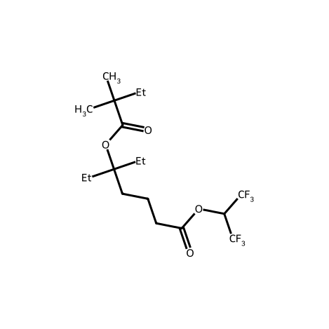 CCC(CC)(CCCC(=O)OC(C(F)(F)F)C(F)(F)F)OC(=O)C(C)(C)CC